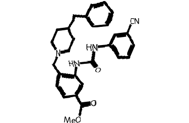 COC(=O)c1ccc(CN2CCC(Cc3ccccc3)CC2)c(NC(=O)Nc2cccc(C#N)c2)c1